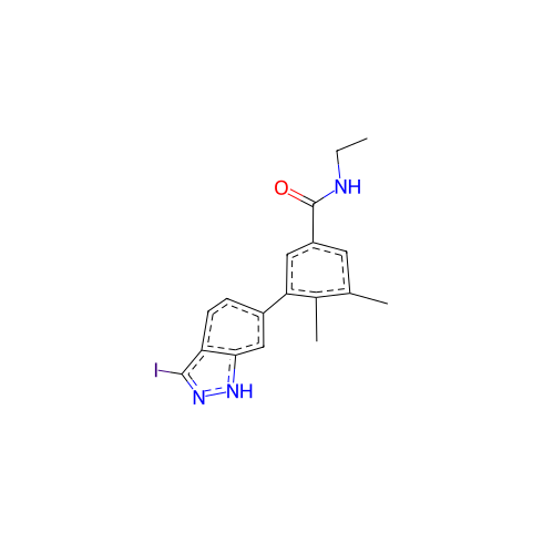 CCNC(=O)c1cc(C)c(C)c(-c2ccc3c(I)n[nH]c3c2)c1